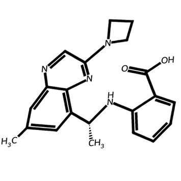 Cc1cc([C@@H](C)Nc2ccccc2C(=O)O)c2nc(N3CCC3)cnc2c1